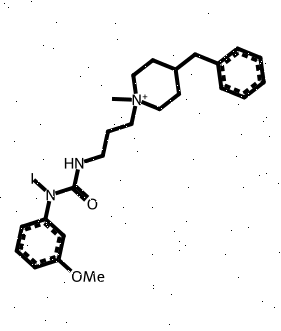 COc1cccc(N(I)C(=O)NCCC[N+]2(C)CCC(Cc3ccccc3)CC2)c1